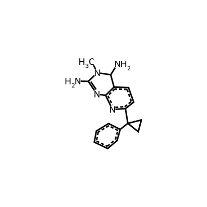 CN1C(N)=Nc2nc(C3(c4ccccc4)CC3)ccc2C1N